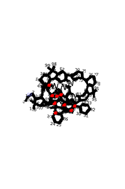 C/C=C\C1=c2c3cc4c(c5ccccc5n4c4c(-c5nc(-c6ccccc6)nc(-c6ccccc6)n5)c5c(nc4n4c6cc7c(cc6c6ccc2cc64)C(C)(C)c2ccccc2-7)n2c4cc6c(cc4c4ccc(cc42)c2cccc4c2c2cc7c(c8c(n75)C=CCC8)CC2C4(C)C)C(C)(C)c2ccccc2-6)CC3C1(C)C